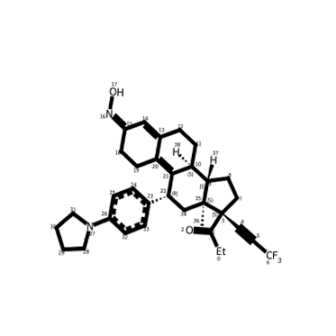 CCC(=O)[C@@]1(C#CC(F)(F)F)CC[C@H]2[C@@H]3CCC4=CC(=NO)CCC4=C3[C@@H](c3ccc(N4CCCC4)cc3)C[C@@]21C